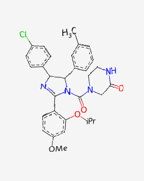 COc1ccc(C2=NC(c3ccc(Cl)cc3)C(c3cccc(C)c3)N2C(=O)N2CCNC(=O)C2)c(OC(C)C)c1